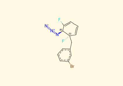 [N-]=[N+]=N[C@H]1C(F)=CC=C[C@@]1(F)Cc1cccc(Br)c1